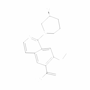 COc1cc2c(N3CCC[C@H](N)C3)nccc2cc1C(N)=O